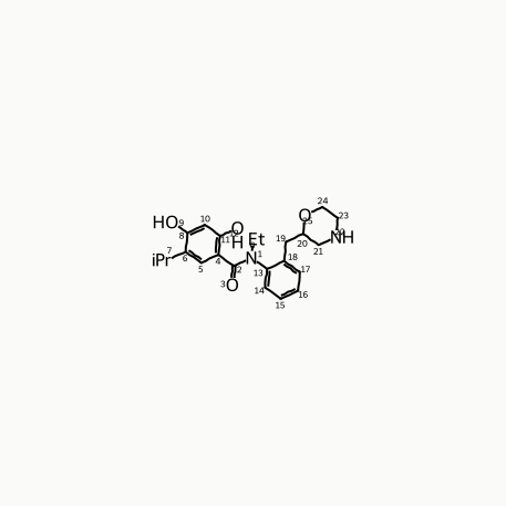 CCN(C(=O)c1cc(C(C)C)c(O)cc1O)c1ccccc1CC1CNCCO1